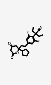 CCC(C#N)(CC)c1c(F)cc(CCC2(C3CCCC3)CC(=O)CC(=O)O2)cc1F